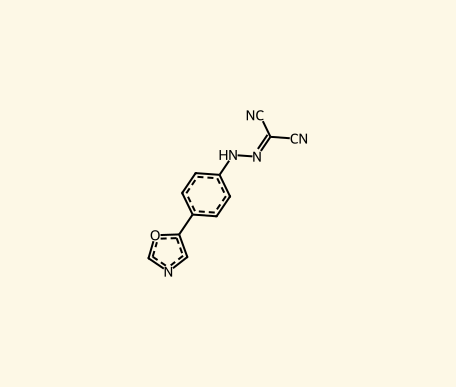 N#CC(C#N)=NNc1ccc(-c2cnco2)cc1